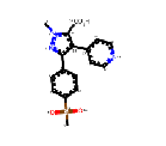 Cn1nc(-c2ccc(S(C)(=O)=O)cc2)c(-c2ccncc2)c1C(=O)O